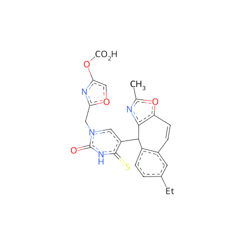 CCc1ccc2c(c1)C=Cc1oc(C)nc1C2c1cn(Cc2nc(OC(=O)O)co2)c(=O)[nH]c1=S